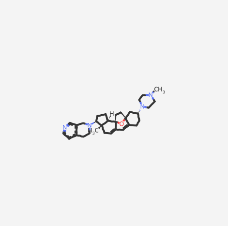 CN1CCN([C@@H]2CCC3=CC4=CC[C@]5(C)[C@@H](N6CCc7ccncc7C6)CC[C@H]5[C@@]45CC[C@]3(C2)O5)CC1